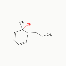 CCCC1C=CC=CC1(C)O